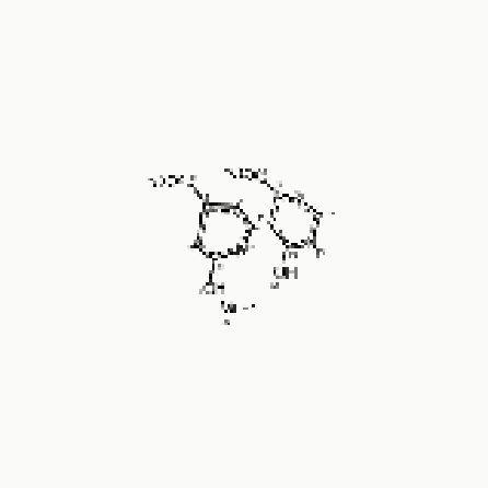 O=C([O-])c1ccnc(O)c1.O=C([O-])c1ccnc(O)c1.[Mn+2]